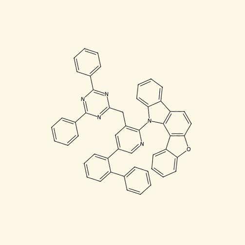 c1ccc(-c2nc(Cc3cc(-c4ccccc4-c4ccccc4)cnc3-n3c4ccccc4c4ccc5oc6ccccc6c5c43)nc(-c3ccccc3)n2)cc1